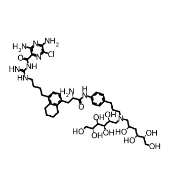 N=C(NCCCCc1ccc(C[C@H](N)C(=O)Nc2ccc(CCCN(C[C@H](O)C[C@H](O)[C@H](O)CO)C[C@H](O)[C@@H](O)[C@H](O)[C@H](O)CO)cc2)c2c1CCCC2)NC(=O)c1nc(Cl)c(N)nc1N